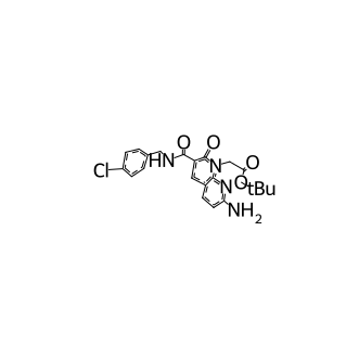 CC(C)(C)OC(=O)Cn1c(=O)c(C(=O)NCc2ccc(Cl)cc2)cc2ccc(N)nc21